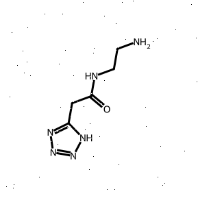 NCCNC(=O)Cc1nnn[nH]1